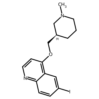 CN1CCC[C@@H](COc2ccnc3ccc(I)cc23)C1